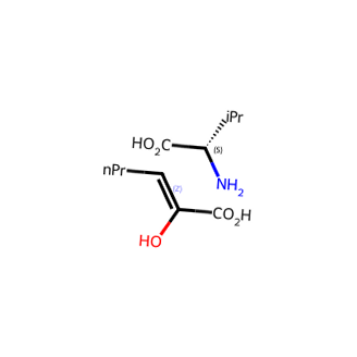 CC(C)[C@H](N)C(=O)O.CCC/C=C(\O)C(=O)O